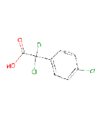 O=C(O)C(Cl)(Cl)c1ccc(Cl)cc1